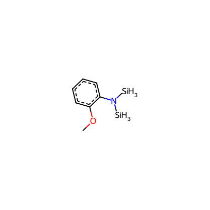 COc1ccccc1N([SiH3])[SiH3]